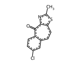 Cc1nc2c(=O)c3ccc(Cl)cc3ccc2s1